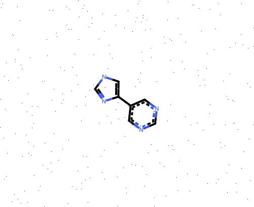 C1=NC(c2cncnc2)=C[N]1